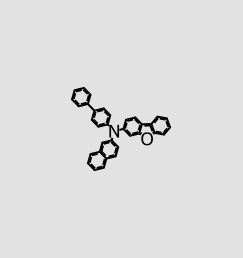 c1ccc(-c2ccc(N(c3ccc4ccccc4c3)c3ccc4c(c3)oc3ccccc34)cc2)cc1